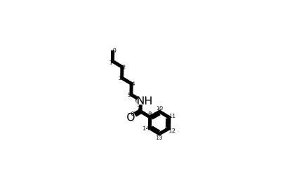 CCCCCCNC(=O)c1cc[c]cc1